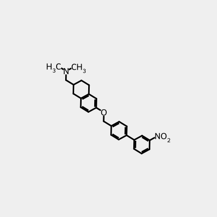 CN(C)CC1CCc2cc(OCc3ccc(-c4cccc([N+](=O)[O-])c4)cc3)ccc2C1